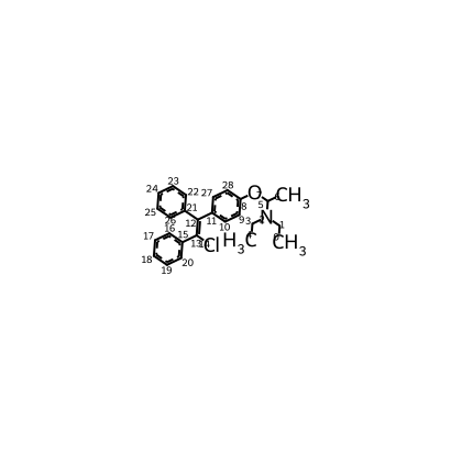 CCN(CC)C(C)Oc1ccc(C(=C(Cl)c2ccccc2)c2ccccc2)cc1